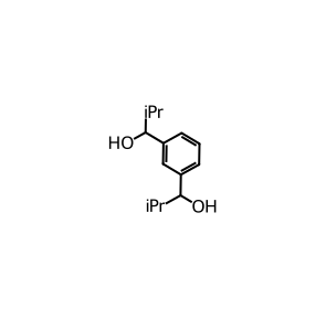 CC(C)C(O)c1cccc(C(O)C(C)C)c1